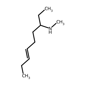 CCC=CCCC(CC)NC